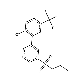 CCCS(=O)(=O)c1cccc(-c2cc(C(F)(F)F)ccc2[O])c1